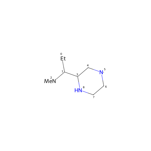 CCC(NC)C1C[N]CCN1